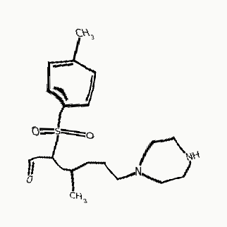 Cc1ccc(S(=O)(=O)C(C=O)C(C)CCN2CCNCC2)cc1